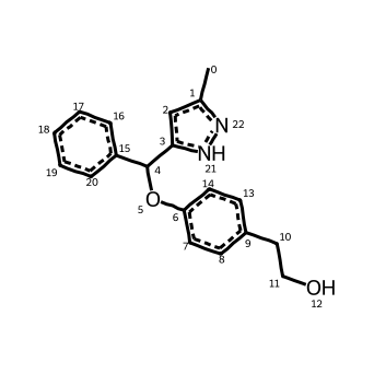 Cc1cc(C(Oc2ccc(CCO)cc2)c2ccccc2)[nH]n1